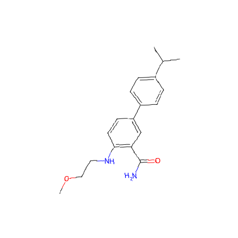 COCCNc1ccc(-c2ccc(C(C)C)cc2)cc1C(N)=O